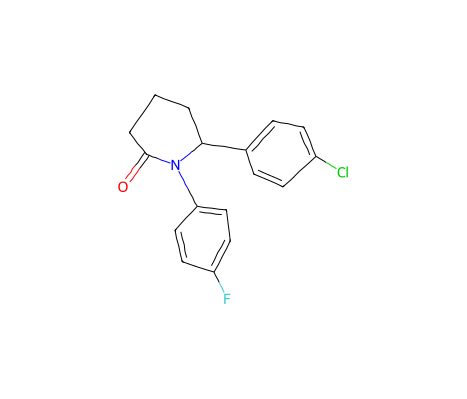 O=C1CCCC(c2ccc(Cl)cc2)N1c1ccc(F)cc1